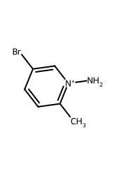 Cc1ccc(Br)c[n+]1N